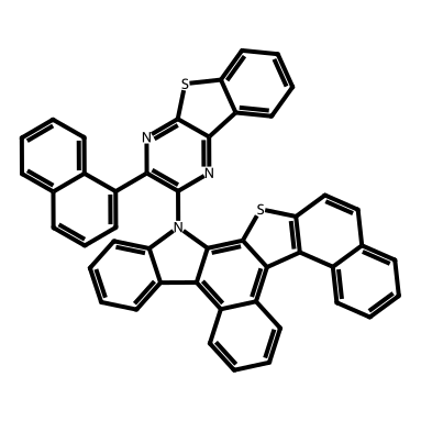 c1ccc2c(-c3nc4sc5ccccc5c4nc3-n3c4ccccc4c4c5ccccc5c5c(sc6ccc7ccccc7c65)c43)cccc2c1